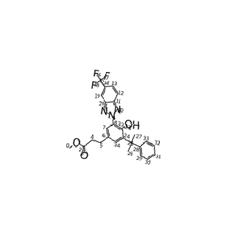 COC(=O)CCc1cc(-n2nc3ccc(C(F)(F)F)cc3n2)c(O)c(C(C)(C)c2ccccc2)c1